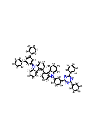 c1ccc(-c2cc(-c3ccccc3)cc(-n3c4ccccc4c4c(-c5cccc6c5c5ccccc5n6-c5cccc(-c6nc(-c7ccccc7)nc(-c7ccccc7)n6)c5)cccc43)c2)cc1